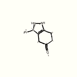 CC(C)N1NNC2=C1CC(=O)CC2